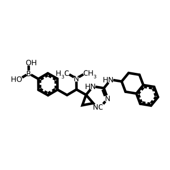 CN(C)C(Cc1ccc(B(O)O)cc1)C1(NC(=NC#N)NC2CCc3ccccc3C2)CC1